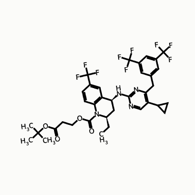 CC[C@@H]1C[C@H](Nc2ncc(C3CC3)c(Cc3cc(C(F)(F)F)cc(C(F)(F)F)c3)n2)c2cc(C(F)(F)F)ccc2N1C(=O)OCCC(=O)OC(C)(C)C